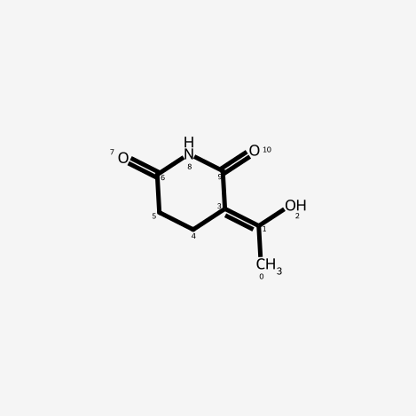 CC(O)=C1CCC(=O)NC1=O